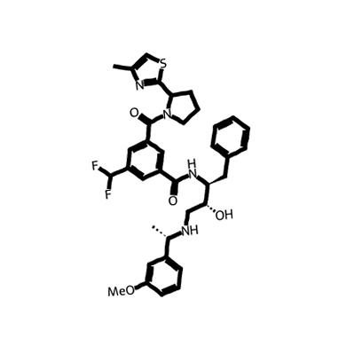 COc1cccc([C@H](C)NC[C@@H](O)[C@H](Cc2ccccc2)NC(=O)c2cc(C(=O)N3CCCC3c3nc(C)cs3)cc(C(F)F)c2)c1